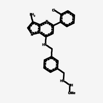 Bc1cnn2c(NCc3cccc(CNBOC)c3)cc(-c3ccccc3Cl)nc12